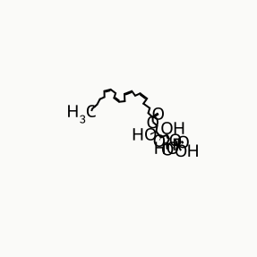 CCCCC/C=C\C/C=C\C/C=C\C/C=C\CCCC(=O)OC[C@H](O)[C@H]1OC(=O)C(OP(=O)(O)O)=C1O